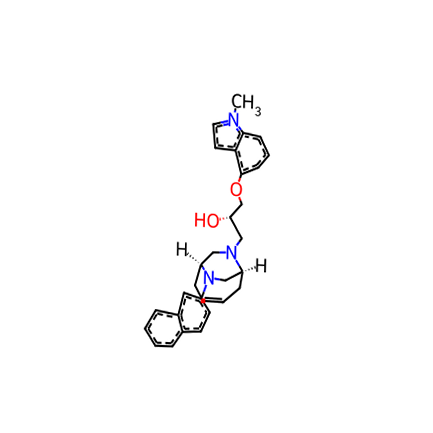 Cn1ccc2c(OC[C@@H](O)CN3C[C@@H]4C/C=C\C[C@H]3CN4c3ccc4ccccc4c3)cccc21